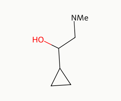 CNCC(O)C1CC1